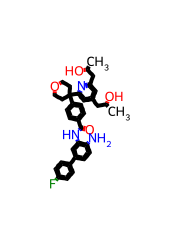 CC(O)Cc1cc(CC(C)O)nc(C2(c3ccc(C(=O)Nc4cc(-c5ccc(F)cc5)ccc4N)cc3)CCOCC2)c1